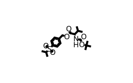 CC(C)[C@H](NC(=O)OC(C)(C)C)C(=O)OCc1ccc(S(=O)(=O)C(C)C)cc1